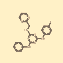 Fc1ccc(Nc2nc(NCc3ncccn3)nc(Nc3ccccc3)n2)cc1